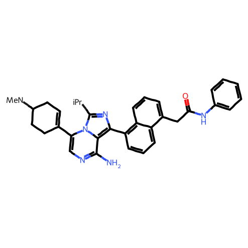 CNC1CC=C(c2cnc(N)c3c(-c4cccc5c(CC(=O)Nc6ccccc6)cccc45)nc(C(C)C)n23)CC1